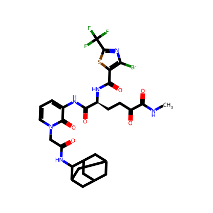 CNC(=O)C(=O)CC[C@H](NC(=O)c1sc(C(F)(F)F)nc1Br)C(=O)Nc1cccn(CC(=O)NC2C3CC4CC(C3)CC2C4)c1=O